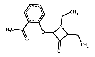 CCC1C(=O)C(Oc2ccccc2C(C)=O)N1CC